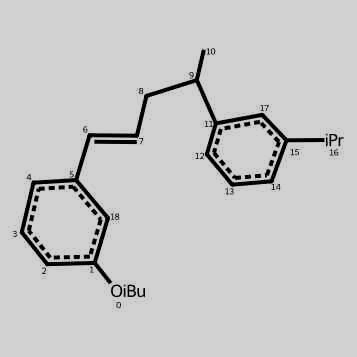 CC(C)COc1cccc(C=CCC(C)c2cccc(C(C)C)c2)c1